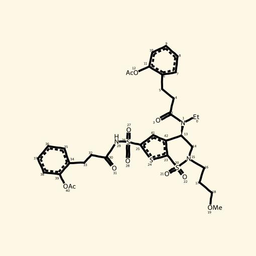 CCN(C(=O)CCc1ccccc1OC(C)=O)[C@H]1CN(CCCOC)S(=O)(=O)c2sc(S(=O)(=O)NC(=O)CCc3ccccc3OC(C)=O)cc21